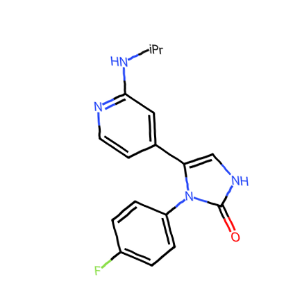 CC(C)Nc1cc(-c2c[nH]c(=O)n2-c2ccc(F)cc2)ccn1